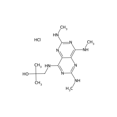 CNc1nc(NCC(C)(C)O)c2nc(NC)nc(NC)c2n1.Cl